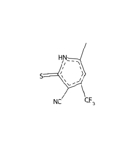 Cc1cc(C(F)(F)F)c(C#N)c(=S)[nH]1